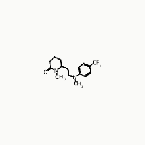 CN(CCC1CCCC(=O)N1C)c1ccc(C(F)(F)F)cc1